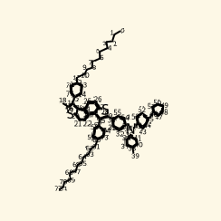 CCCCCCCCCCCCc1ccc(-c2c(C)sc3ccc4c(ccc5sc(-c6ccc(N(c7ccc(C)cc7)c7ccc(-c8ccccc8)cc7)cc6)c(-c6ccc(CCCCCCCCCCCC)cc6)c54)c23)cc1